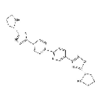 c1cc(-c2noc([C@@H]3CCCN3)n2)ccc1-c1ccc(-c2cnc([C@@H]3CCCN3)s2)cc1